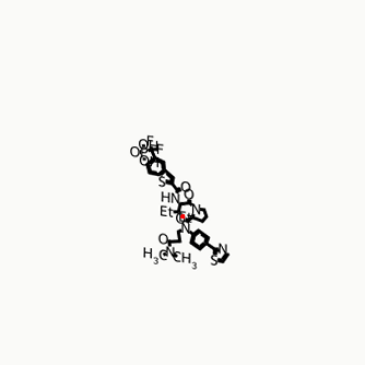 CCC(CC)C(NC(=O)c1cc2cc(C(F)(F)P(=O)(O)O)ccc2s1)C(=O)N1CCCC1C(=O)N(CCC(=O)N(C)C)c1ccc(-c2nccs2)cc1